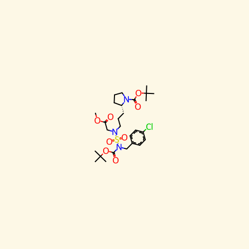 COC(=O)CN(CCC[C@@H]1CCCN1C(=O)OC(C)(C)C)S(=O)(=O)N(Cc1ccc(Cl)cc1)C(=O)OC(C)(C)C